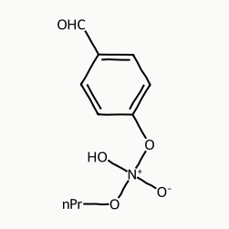 CCCO[N+]([O-])(O)Oc1ccc(C=O)cc1